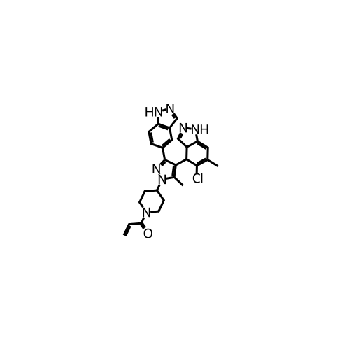 C=CC(=O)N1CCC(n2nc(-c3ccc4[nH]ncc4c3)c(C3C(Cl)=C(C)C=C4NN=CC43)c2C)CC1